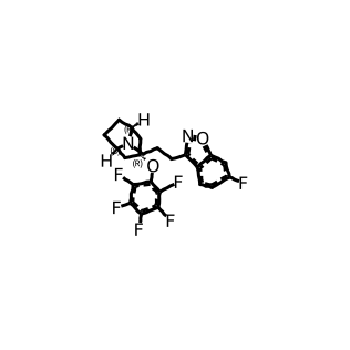 Fc1ccc2c(CCCN3[C@@H]4CC[C@H]3C[C@@H](Oc3c(F)c(F)c(F)c(F)c3F)C4)noc2c1